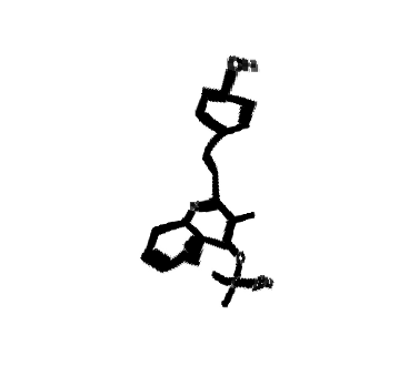 Cc1c(CCc2ccc(O)cc2)nc2ccccc2c1O[Si](C)(C)C(C)(C)C